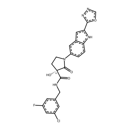 O=C(NCc1cc(F)cc(Cl)c1)[C@@]1(O)CCN(c2ccc3[nH]c(-c4nnco4)cc3c2)C1=O